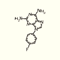 Nc1nc(N)c2ncn(-c3ccc(F)cc3)c2n1